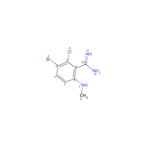 CNc1ccc(Br)c(Cl)c1C(=N)N